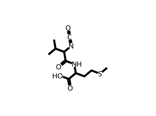 CSCCC(NC(=O)C(N=C=O)C(C)C)C(=O)O